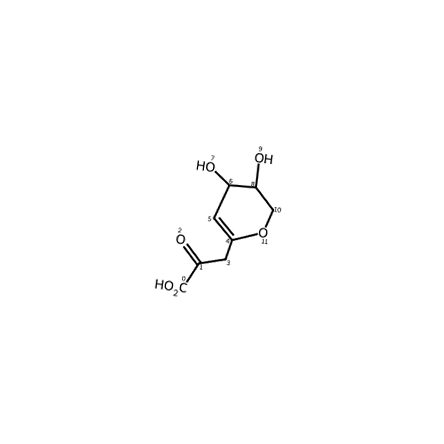 O=C(O)C(=O)CC1=CC(O)C(O)CO1